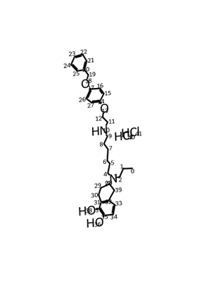 CCCN(CCCCCCNCCOc1ccc(OCc2ccccc2)cc1)[C@H]1CCc2c(ccc(O)c2O)C1.Cl.Cl